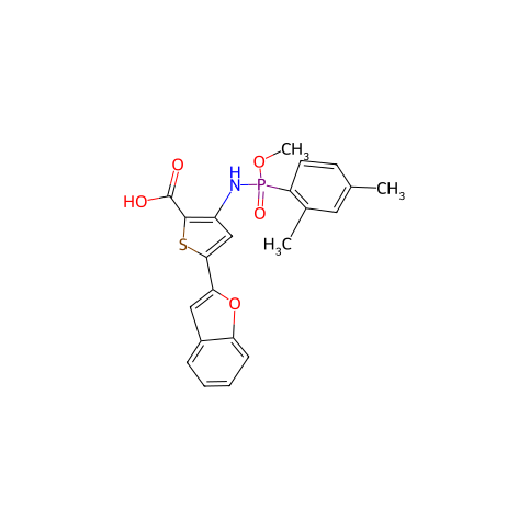 COP(=O)(Nc1cc(-c2cc3ccccc3o2)sc1C(=O)O)c1ccc(C)cc1C